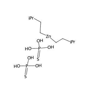 CC(C)C[CH2][Zn][CH2]CC(C)C.OP(O)(O)=S.OP(O)(O)=S